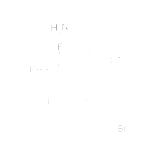 CC(N)c1ccc(Br)cc1C(F)(F)F